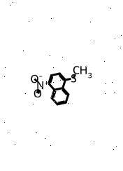 CSc1ccc([N+](=O)[O-])c2ccccc12